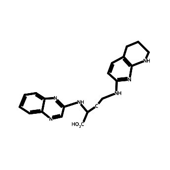 O=C(O)C(CCNc1ccc2c(n1)NCCC2)Nc1cnc2ccccc2n1